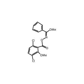 COC(=NOC(=O)c1c(Cl)ccc(Cl)c1OC)c1ccccc1